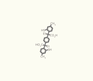 CCC(C(=O)O)(c1ccc(C(CC)(C(=O)O)c2ccc(C)cc2S)cc1)c1ccc(C)cc1S